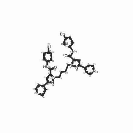 CCc1ccc(NC(=O)c2cc(-c3ccncc3)nn2CCCCn2nc(-c3ccncc3)cc2C(=O)Nc2ccc(CC)cc2)cc1